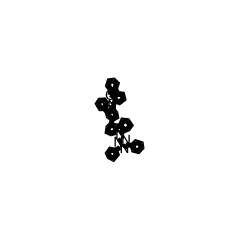 c1ccc(-c2nc(-c3ccccc3)nc(-n3c4ccccc4c4c(-c5ccc6c(c5)c5ccccc5n6-c5cccc6c5oc5ccccc56)cccc43)n2)cc1